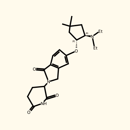 CCN(CC)[C@@H]1CC(C)(C)C[C@H]1Oc1ccc2c(c1)CN(C1CCC(=O)NC1=O)C2=O